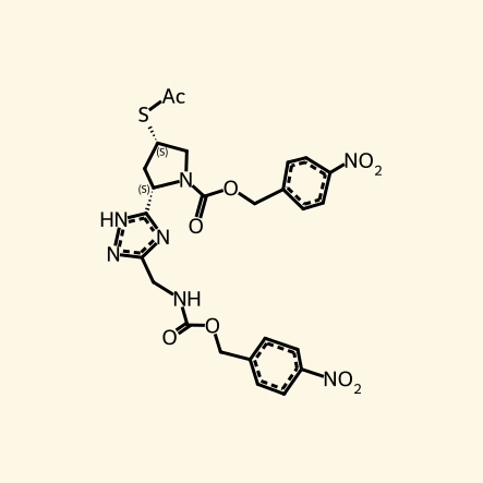 CC(=O)S[C@H]1C[C@@H](c2nc(CNC(=O)OCc3ccc([N+](=O)[O-])cc3)n[nH]2)N(C(=O)OCc2ccc([N+](=O)[O-])cc2)C1